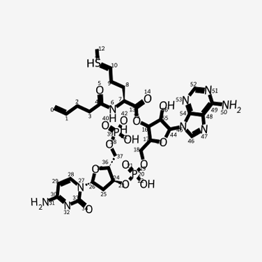 C=CCCC(=O)N[C@@H](CCC=[SH]C)C(=O)OC1C(COP(=O)(O)O[C@H]2C[C@H](n3ccc(N)nc3=O)O[C@@H]2COP(=O)(O)O)OC(n2cnc3c(N)ncnc32)C1O